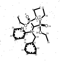 CCOP(=O)(OCC)C(N(Cc1ccccc1)c1ccccn1)P(=O)(OCC)OCC